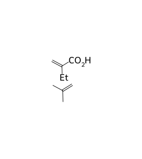 C=C(C)C.C=C(CC)C(=O)O